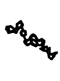 c1ccc2c(c1)oc1cc(-c3ccc4ccc5c(-c6ccc(-c7cccc8c7oc7ccccc78)cc6)ccc6ccc3c4c65)ccc12